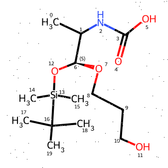 CC(NC(=O)O)[C@@H](OCCCO)O[Si](C)(C)C(C)(C)C